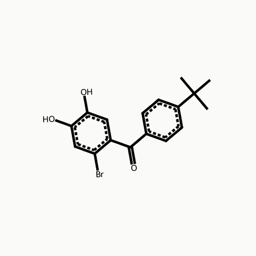 CC(C)(C)c1ccc(C(=O)c2cc(O)c(O)cc2Br)cc1